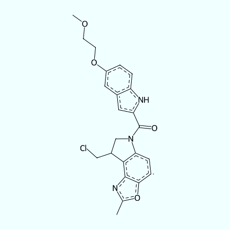 COCCOc1ccc2[nH]c(C(=O)N3CC(CCl)c4c3c[c]c3oc(C)nc43)cc2c1